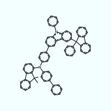 CC1(C)c2ccccc2-c2cccc(N(c3ccc(-c4ccccc4)cc3)c3ccc(-c4ccc5c(c4)c4cc(C6(c7ccccc7)c7ccccc7-c7ccccc76)ccc4n5-c4ccccc4)cc3)c21